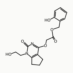 O=C(COc1nc(=O)n(CCO)c2c1CCC2)OCc1ccccc1O